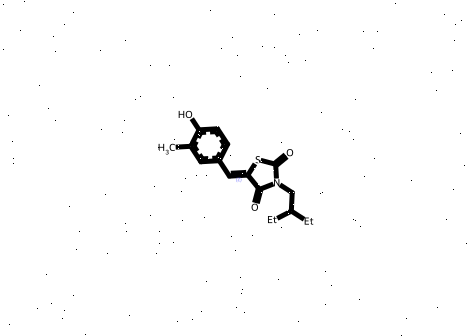 CCC(CC)CN1C(=O)S/C(=C\c2ccc(O)c(C)c2)C1=O